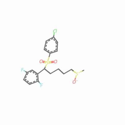 C[S+]([O-])CCCCC(c1cc(F)ccc1F)S(=O)(=O)c1ccc(Cl)cc1